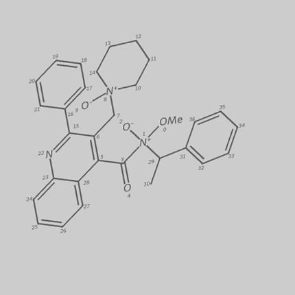 CO[N+]([O-])(C(=O)c1c(C[N+]2([O-])CCCCC2)c(-c2ccccc2)nc2ccccc12)C(C)c1ccccc1